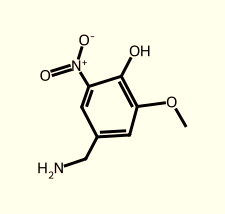 COc1cc(CN)cc([N+](=O)[O-])c1O